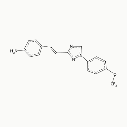 Nc1ccc(C=Cc2ncn(-c3ccc(OC(F)(F)F)cc3)n2)cc1